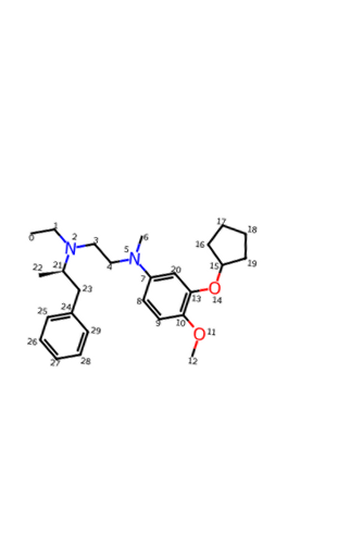 CCN(CCN(C)c1ccc(OC)c(OC2CCCC2)c1)[C@H](C)Cc1ccccc1